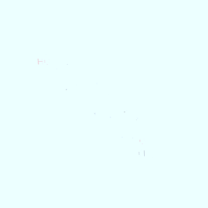 COc1ccc(-c2ccc(-c3ccc(O)cc3)cc2)cc1